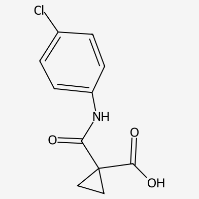 O=C(O)C1(C(=O)Nc2ccc(Cl)cc2)CC1